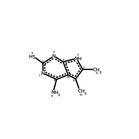 Cc1[nH]c2nc(S)nc(N)c2c1C